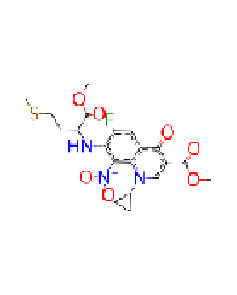 COC(=O)c1cn(C2CC2)c2c([N+](=O)[O-])c(NC(CCSC)C(=O)OC)c(F)cc2c1=O